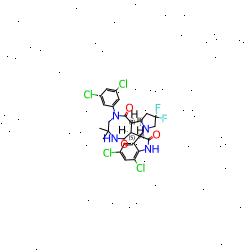 CC1(C)CN(c2cc(Cl)cc(Cl)c2)C(=O)[C@H]2[C@H]3CC(F)(F)CN3[C@]3(C(=O)Nc4c(Cl)cc(Cl)cc43)[C@H]2C(=O)N1